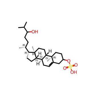 CC(C)C(O)CC[C@@H](C)[C@H]1CC[C@H]2[C@@H]3CC=C4CC(OS(=O)(=O)O)CC[C@]4(C)[C@H]3CC[C@]12C